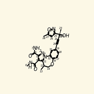 CNC(=O)c1c(C(N)=O)nn2c1C(C)COc1ccc(C#C[C@@](C)(O)c3cc(C)on3)cc1-2